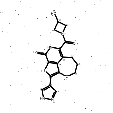 O=C(c1[nH]c(=O)c2sc(-c3cn[nH]c3)c3c2c1CCCO3)N1CC(O)C1